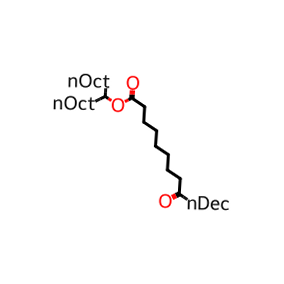 CCCCCCCCCCC(=O)CCCCCCCC(=O)OC(CCCCCCCC)CCCCCCCC